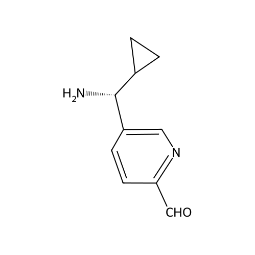 N[C@@H](c1ccc(C=O)nc1)C1CC1